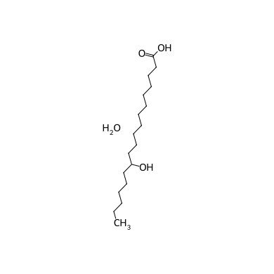 CCCCCCC(O)CCCCCCCCCCC(=O)O.O